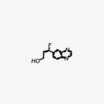 OC/C=C(/F)c1ccc2nccnc2c1